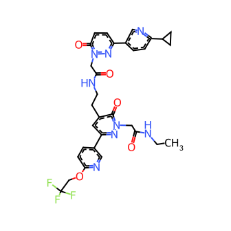 CCNC(=O)Cn1nc(-c2ccc(OCC(F)(F)F)nc2)cc(CCNC(=O)Cn2nc(-c3ccc(C4CC4)nc3)ccc2=O)c1=O